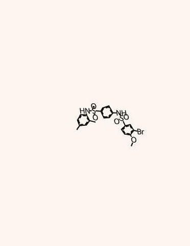 COc1ccc(S(=O)(=O)Nc2ccc(S(=O)(=O)Nc3ccc(C)cc3C)cc2)cc1Br